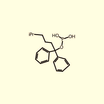 CC(C)CCCC(OP(O)O)(c1ccccc1)c1ccccc1